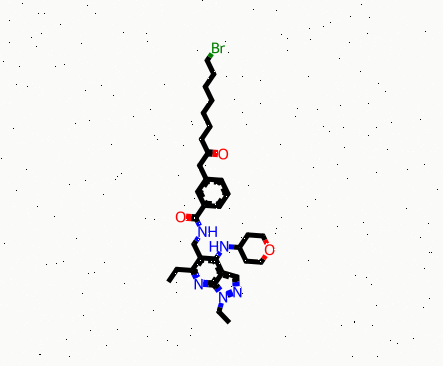 CCc1nc2c(cnn2CC)c(NC2CCOCC2)c1CNC(=O)c1cccc(CC(=O)CCCCCCCBr)c1